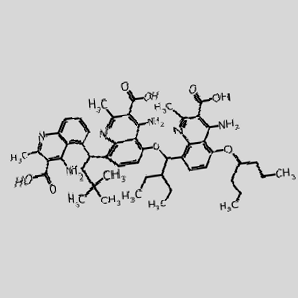 CCCC(CCC)Oc1ccc(C(Oc2ccc(C(CC(C)(C)C)c3cccc4nc(C)c(C(=O)O)c(N)c34)c3nc(C)c(C(=O)O)c(N)c23)C(CC)CC)c2nc(C)c(C(=O)O)c(N)c12